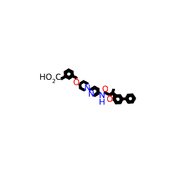 Cc1c(C(=O)Nc2ccc(N3CCC(OCc4cccc(CC(=O)O)c4)CC3)nc2)oc2ccc(-c3ccccc3)cc12